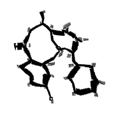 C[C@@H]1CNc2ccc(Cl)cc2-n2c(-c3ccccc3)nnc21